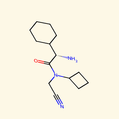 N#CCN(C(=O)[C@@H](N)C1CCCCC1)C1CCC1